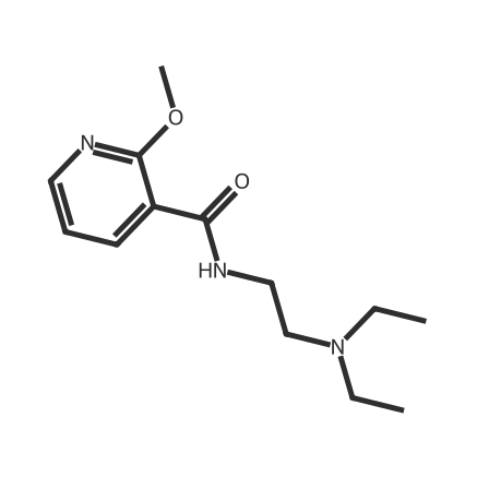 CCN(CC)CCNC(=O)c1cccnc1OC